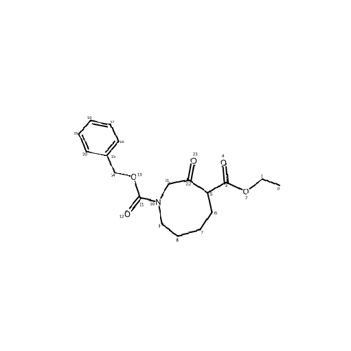 CCOC(=O)C1CCCCN(C(=O)OCc2ccccc2)CC1=O